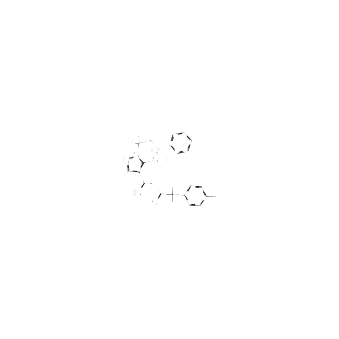 CCC(CC)(C(=N)SC(=N)c1c(C)nn2c1N[C@@H](c1ccccc1)CC2(C)C)c1ccc(C)cc1